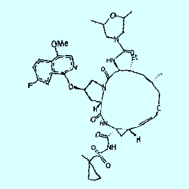 CC[C@@H]1C[C@H](C)CC/C=C\[C@@H]2C[C@@]2(C(=O)NS(=O)(=O)C2(C)CC2)NC(=O)[C@@H]2C[C@@H](Oc3ncc(OC)c4ccc(F)cc34)CN2C(=O)[C@H]1NC(=O)N1CC(C)OC(C)C1